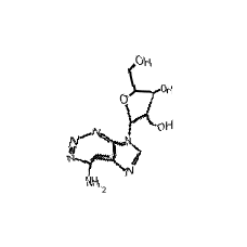 Nc1nnnc2c1ncn2C1OC(CO)C(O)C1O